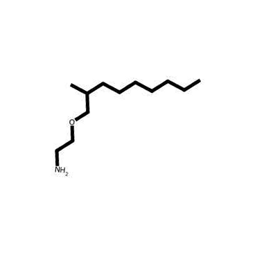 CCCCCCCC(C)COCCN